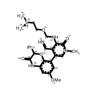 COc1cc2c(c(-c3cn(C)c(=O)c(NCOCC[SiH](C)C)c3C=N)c1)OC(C(C)C)C(=O)N2